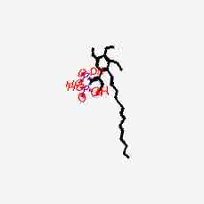 CCCCCCCCCCCC=Cc1c(C(CC)=C(P(=O)(O)O)P(=O)(O)O)cc(CC)c(CC)c1CC